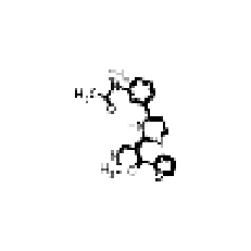 C/N=C\C(C(=O)c1cccs1)=C1\N=CC=C(c2cccc(N(C)C(C)=O)c2)N1